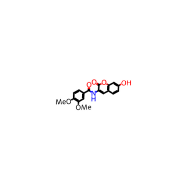 COc1ccc(C(=O)Nc2cc3ccc(O)cc3oc2=O)cc1OC